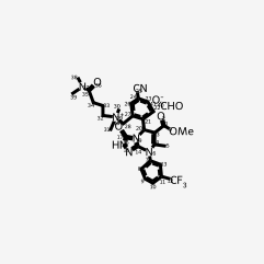 COC(=O)C1=C(C)N(c2cccc(C(F)(F)F)c2)c2n[nH]c(=O)n2C1c1ccc(C#N)cc1C[N+](C)(C)CCCC(=O)N(C)C.O=C[O-]